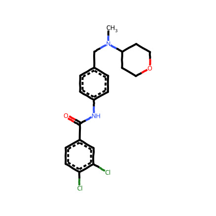 CN(Cc1ccc(NC(=O)c2ccc(Cl)c(Cl)c2)cc1)C1CCOCC1